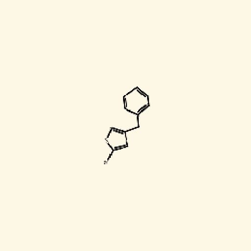 Brc1cc(Cc2ccccc2)[c]s1